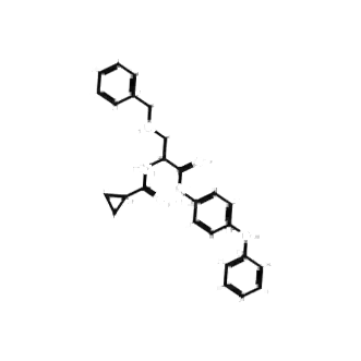 O=C(NC(COCc1ccccc1)C(=O)Nc1ccc(Oc2ccccc2)cc1)C1CC1